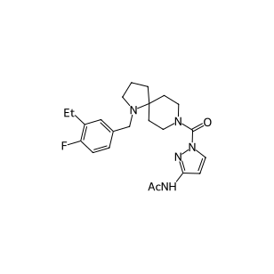 CCc1cc(CN2CCCC23CCN(C(=O)n2ccc(NC(C)=O)n2)CC3)ccc1F